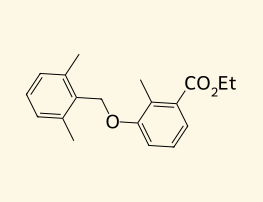 CCOC(=O)c1cccc(OCc2c(C)cccc2C)c1C